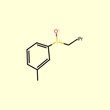 Cc1cccc([S+]([O-])CC(C)C)c1